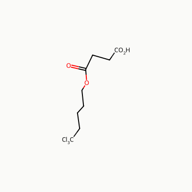 O=C(O)CCC(=O)OCCCCC(Cl)(Cl)Cl